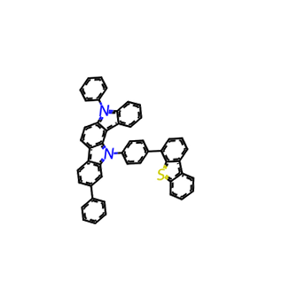 c1ccc(-c2ccc3c4ccc5c(c6ccccc6n5-c5ccccc5)c4n(-c4ccc(-c5cccc6c5sc5ccccc56)cc4)c3c2)cc1